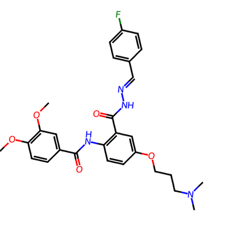 COc1ccc(C(=O)Nc2ccc(OCCCN(C)C)cc2C(=O)NN=Cc2ccc(F)cc2)cc1OC